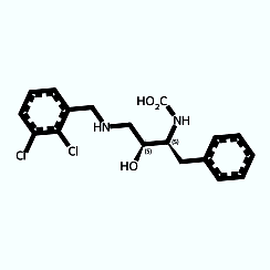 O=C(O)N[C@@H](Cc1ccccc1)[C@@H](O)CNCc1cccc(Cl)c1Cl